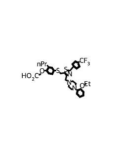 CCCc1cc(SCc2sc(-c3ccc(C(F)(F)F)cc3)nc2CN2CCN(c3ccccc3OCC)CC2)ccc1OCC(=O)O